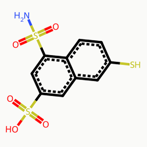 NS(=O)(=O)c1cc(S(=O)(=O)O)cc2cc(S)ccc12